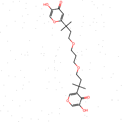 CC(C)(CCOCCCOCCC(C)(C)c1cocc(O)c1=O)c1cc(=O)c(O)co1